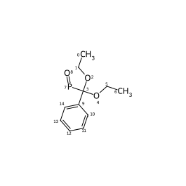 CCOC(OCC)(P=O)c1[c]cccc1